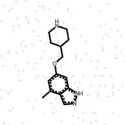 Cc1cc(OCC2CCNCC2)cc2[nH]ncc12